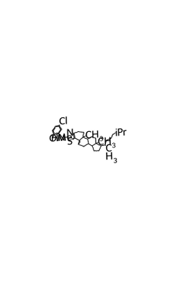 COc1ccc(Cl)cc1Nc1nc2c(s1)C1=CCC3C(CCC4(C)C(C(C)CCCC(C)C)CCC34)C1(C)CC2